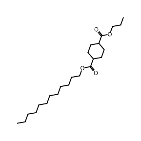 CCCCCCCCCCCCOC(=O)C1CCC(C(=O)OCCC)CC1